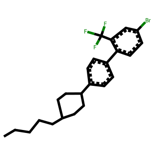 CCCCCC1CCC(c2ccc(-c3ccc(Br)cc3C(F)(F)F)cc2)CC1